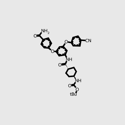 CC(C)(C)OC(=O)N[C@H]1CC[C@H](C(=O)Nc2cc(Oc3ccc(C#N)cc3)cc(Oc3ccc(C(N)=O)cc3)c2)CC1